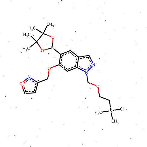 CC1(C)OB(c2cc3cnn(COCC[Si](C)(C)C)c3cc2OCc2ccon2)OC1(C)C